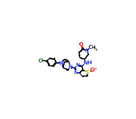 CN1C[C@@H](Nc2nc(N3CC4CC3CN4c3ccc(Cl)cc3)nc3c2[S+]([O-])CC3)CCC1=O